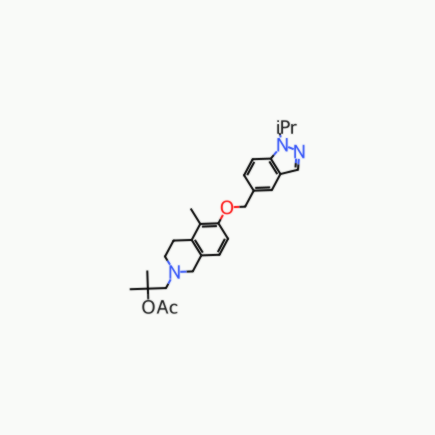 CC(=O)OC(C)(C)CN1CCc2c(ccc(OCc3ccc4c(cnn4C(C)C)c3)c2C)C1